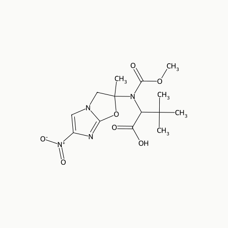 COC(=O)N(C(C(=O)O)C(C)(C)C)C1(C)Cn2cc([N+](=O)[O-])nc2O1